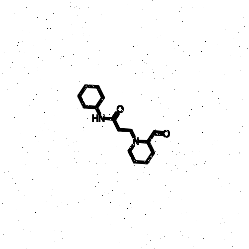 O=CC1CCCCN1CCC(=O)NC1CCCCC1